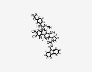 N#C/N=C(\NCC(C(N)c1ccc(Cl)c(Cl)c1)N(N)C(=O)[C@H]1CCCN1C(=O)OCC1c2ccccc2-c2ccccc21)Nc1cccc(OC(F)F)c1